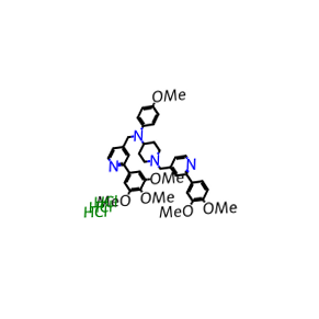 COc1ccc(N(Cc2ccnc(-c3cc(OC)c(OC)c(OC)c3)c2)C2CCN(Cc3ccnc(-c4ccc(OC)c(OC)c4)c3)CC2)cc1.Cl.Cl.Cl